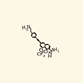 N=C(N)c1ccc2cc(C#Cc3ccc(CCN)cc3)ccc2c1OC(=O)C(F)(F)F